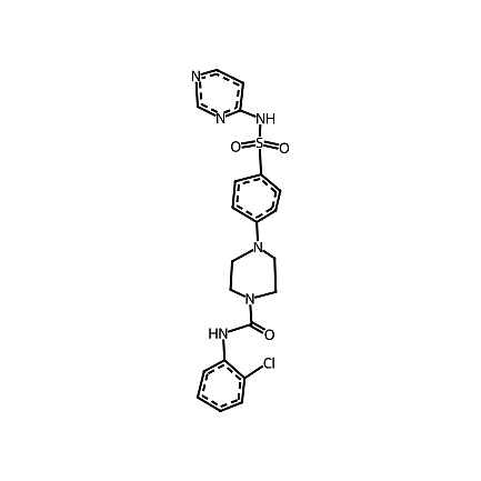 O=C(Nc1ccccc1Cl)N1CCN(c2ccc(S(=O)(=O)Nc3ccncn3)cc2)CC1